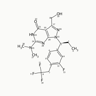 CC[C@@H](c1ccc(CC(F)(F)F)c(F)c1)n1nc(CO)c2c(=O)[nH]c(N(C)C)nc21